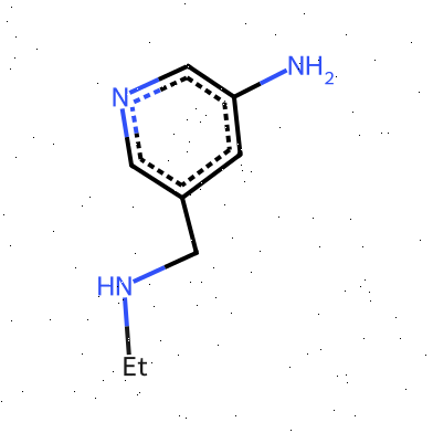 CCNCc1cncc(N)c1